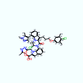 Cc1nnc(Cn2c(C(=O)O)cc3cccc(N4C(=O)c5c(CCCOc6cc(C)c(Cl)c(C)c6)c6cccc(-c7c(C)nn(C)c7C)c6n5[C@H](C)C4Cl)c32)o1